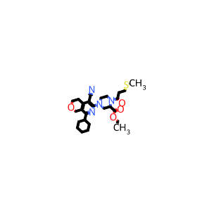 CCOC(=O)C1CN(c2nc(C3CCCCC3)c3c(c2C#N)CCOC3)CCN1C(=O)CCSC